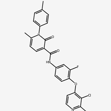 Cc1ccc(-n2c(C)ccc(C(=O)Nc3ccc(Oc4ccnc(N)c4Cl)c(F)c3)c2=O)cc1